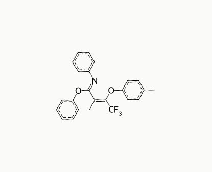 CC(C(=Nc1ccccc1)Oc1ccccc1)=C(Oc1ccc(C)cc1)C(F)(F)F